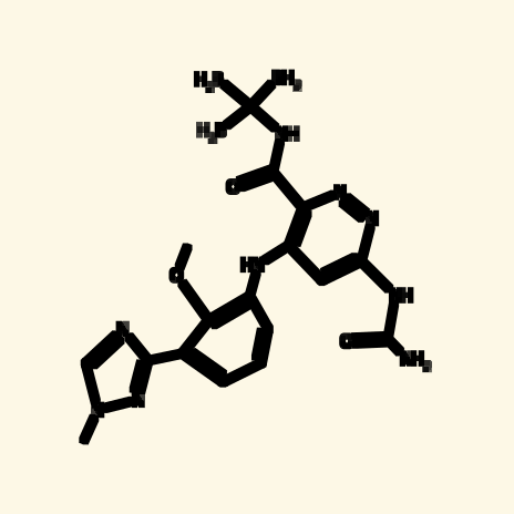 BC(B)(B)NC(=O)c1nnc(NC(N)=O)cc1Nc1cccc(-c2ncn(C)n2)c1OC